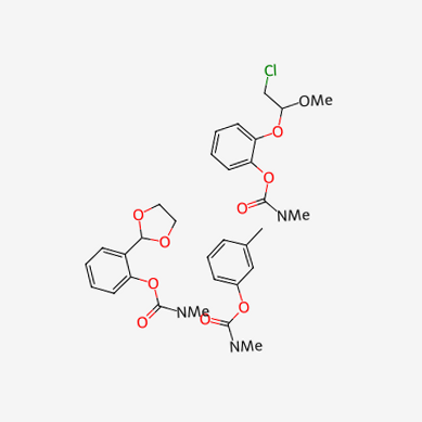 CNC(=O)Oc1cccc(C)c1.CNC(=O)Oc1ccccc1C1OCCO1.CNC(=O)Oc1ccccc1OC(CCl)OC